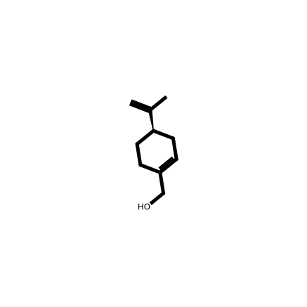 C=C(C)[C@H]1CC=C(CO)CC1